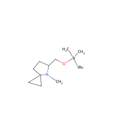 CN1C(CO[Si](C)(C)C(C)(C)C)CCC12CC2